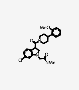 CNC(=O)CN1CC(C(=O)N2CCC(c3ccccc3OC)CC2)c2ccc(Cl)cc21